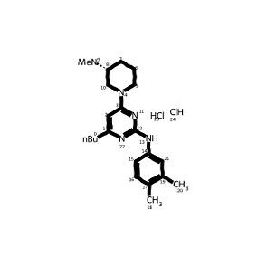 CCCCc1cc(N2CCC[C@@H](NC)C2)nc(Nc2ccc(C)c(C)c2)n1.Cl.Cl